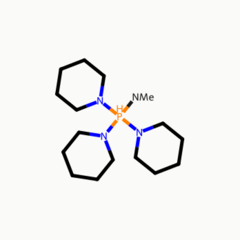 CN[PH](N1CCCCC1)(N1CCCCC1)N1CCCCC1